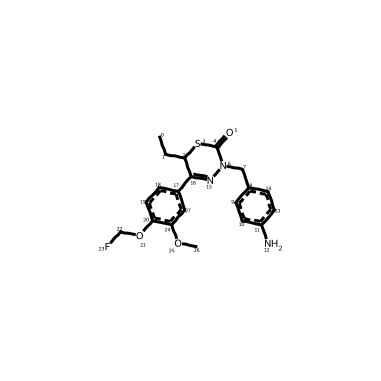 CCC1SC(=O)N(Cc2ccc(N)cc2)N=C1c1ccc(OCF)c(OC)c1